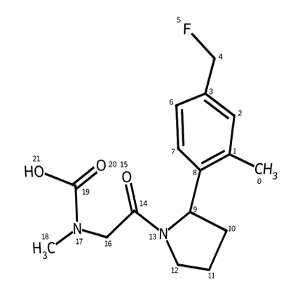 Cc1cc(CF)ccc1C1CCCN1C(=O)CN(C)C(=O)O